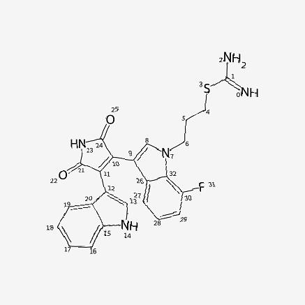 N=C(N)SCCCn1cc(C2=C(c3c[nH]c4ccccc34)C(=O)NC2=O)c2cccc(F)c21